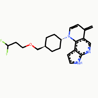 C=C1C=CN([C@H]2CC[C@H](COCCC(F)F)CC2)c2c1cnc1[nH]ccc21